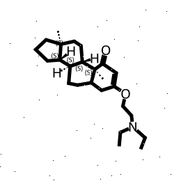 CCN(CC)CCOC1=CC(=O)[C@@]2(C)C(CC[C@H]3[C@@H]4CCC[C@@]4(C)CC[C@@H]32)C1